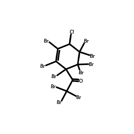 O=C(C(Br)(Br)Br)C1(Br)C(Br)=C(Br)C(Cl)C(Br)(Br)C1(Br)Br